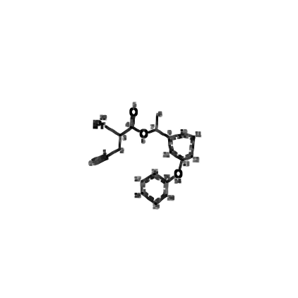 C#CCC(C(=O)OC(C)c1cccc(Oc2ccccc2)c1)C(C)C